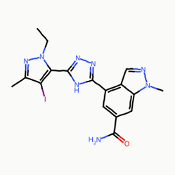 CCn1nc(C)c(I)c1-c1nnc(-c2cc(C(N)=O)cc3c2cnn3C)[nH]1